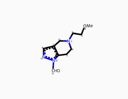 COCCN1CCc2c(cnn2C=O)C1